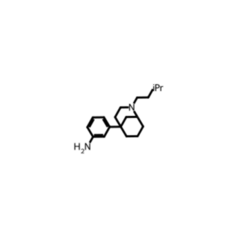 CC(C)CCN1CCC2(c3cccc(N)c3)CCCC1C2